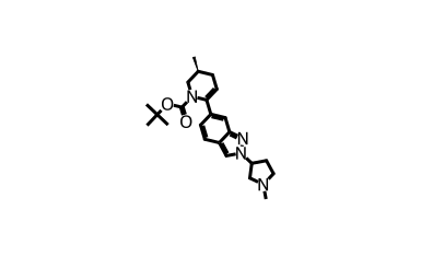 C[C@H]1CC=C(c2ccc3cn(C4CCN(C)C4)nc3c2)N(C(=O)OC(C)(C)C)C1